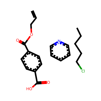 C=CCOC(=O)c1ccc(C(=O)O)cc1.CCCCCCl.c1ccncc1